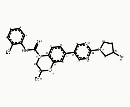 CCc1ccccc1NC(=O)N1CC(CC)Oc2cc(-c3cnc(N4CCC(C(C)=O)C4)nc3)ccc21